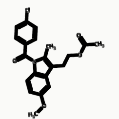 COc1ccc2c(c1)c(CCOC(C)=O)c(C)n2C(=O)c1ccc(Cl)cc1